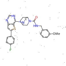 COc1cccc(CNC(=O)N2CC3CCC2CN3c2ncnc3cc(-c4ccc(F)cc4)sc23)c1